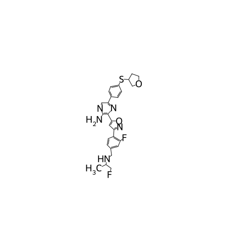 CC(CF)NCc1ccc(-c2cc(-c3nc(-c4ccc(SC5CCOC5)cc4)cnc3N)on2)c(F)c1